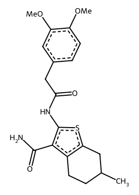 COc1ccc(CC(=O)Nc2sc3c(c2C(N)=O)CCC(C)C3)cc1OC